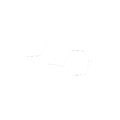 C[C](C)CC1CCOCC1